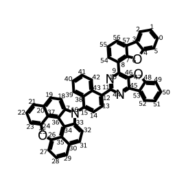 c1ccc2c(c1)oc1c(-c3nc(-c4ccc(-n5c6ccc7cccc8oc9cccc%10ccc5c(c%109)c6c78)c5ccccc45)nc4c3oc3ccccc34)cccc12